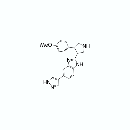 COc1ccc(C2CNCC2c2nc3cc(-c4cn[nH]c4)ccc3[nH]2)cc1